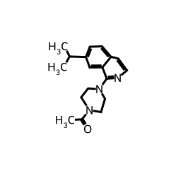 CC(=O)N1CCN(c2nccc3ccc(C(C)C)cc23)CC1